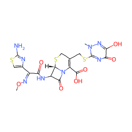 CON=C(C(=O)NC1C(=O)N2C(C(=O)O)=C(CSc3nc(=O)c(O)nn3C)CS[C@@H]12)c1csc(N)n1